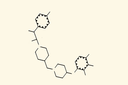 Cc1c(OC2CCN(CC3CCN([C@](C)(C(=O)O)C(C)c4ccc(F)cc4)CC3)CC2)ccc(Cl)c1Cl